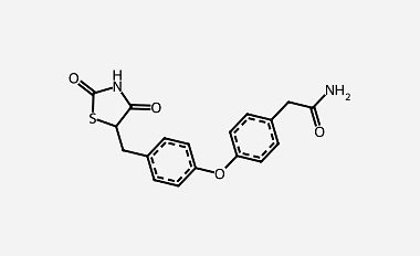 NC(=O)Cc1ccc(Oc2ccc(CC3SC(=O)NC3=O)cc2)cc1